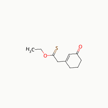 CCOC(=S)CC1=CC(=O)CCC1